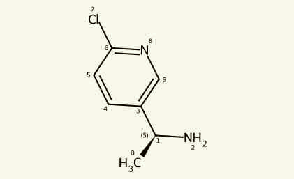 C[C@H](N)c1ccc(Cl)nc1